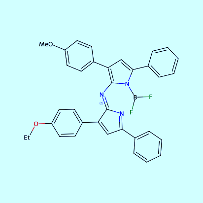 CCOc1ccc(C2=CC(c3ccccc3)=N/C2=N\c2c(-c3ccc(OC)cc3)cc(-c3ccccc3)n2B(F)F)cc1